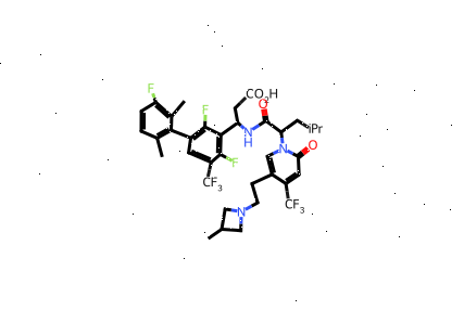 Cc1ccc(F)c(C)c1-c1cc(C(F)(F)F)c(F)c(C(CC(=O)O)NC(=O)C(CC(C)C)n2cc(CCN3CC(C)C3)c(C(F)(F)F)cc2=O)c1F